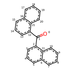 O=C(c1cccc2ccccc12)c1cccc2ccccc12